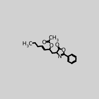 CCCC=CC(CC1N=C(c2ccccc2)OC1=O)OC(C)=O